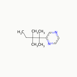 CCC(C)(C)C(C)(C)c1cnccn1